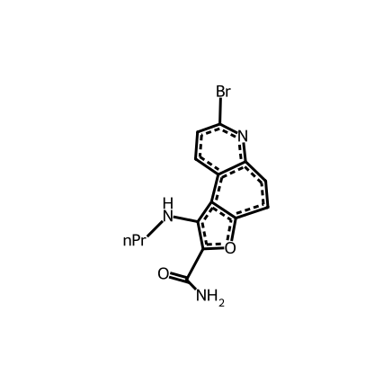 CCCNc1c(C(N)=O)oc2ccc3nc(Br)ccc3c12